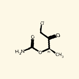 C[C@@H](OC(N)=O)C(=O)CCl